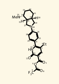 CCc1cc(C(=O)OC(=O)C(F)(F)F)c(=O)[nH]c1-c1ccc(N2C[C@H]3CCC[C@@H](NC)[C@H]3C2)cc1